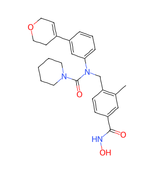 Cc1cc(C(=O)NO)ccc1CN(C(=O)N1CCCCC1)c1cccc(C2=CCOCC2)c1